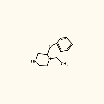 CCN1CCNCC1Oc1ccccc1